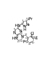 CC(C)c1cc(Nc2cnc3c(n2)N(Cc2c(F)ccc(F)c2Cl)CCN3)[nH]n1